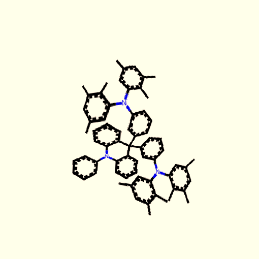 Cc1cc(C)c(C)c(N(c2cccc(C3(c4cccc(N(c5cc(C)cc(C)c5C)c5cc(C)cc(C)c5C)c4)c4ccccc4N(c4ccccc4)c4ccccc43)c2)c2cc(C)cc(C)c2C)c1